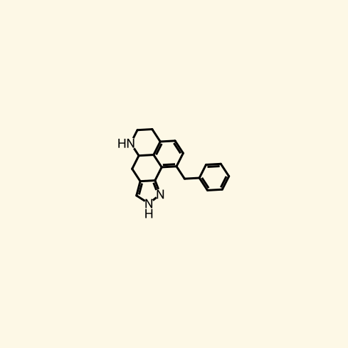 c1ccc(Cc2ccc3c4c2-c2n[nH]cc2CC4NCC3)cc1